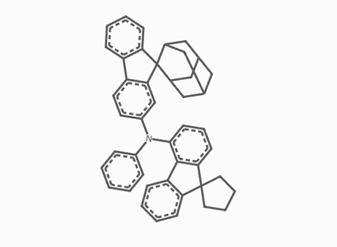 c1ccc(N(c2ccc3c(c2)C2(c4ccccc4-3)C3CC4CC(C3)CC2C4)c2cccc3c2-c2ccccc2C32CCCC2)cc1